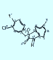 CC1(Cc2ccc(F)c(Cl)c2)C(=O)Nc2ccc(F)cc21